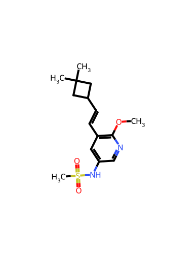 COc1ncc(NS(C)(=O)=O)cc1/C=C/C1CC(C)(C)C1